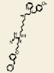 COc1ccc(CN(CCN(C)CCCCCCN/C(=N/CCCOc2cccc(CN3CCCCC3)c2)NC#N)c2ccccn2)cc1